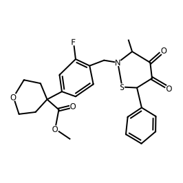 COC(=O)C1(c2ccc(CN3SC(c4ccccc4)C(=O)C(=O)C3C)c(F)c2)CCOCC1